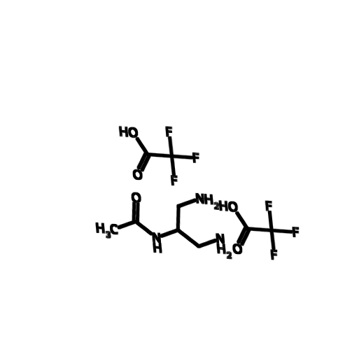 CC(=O)NC(CN)CN.O=C(O)C(F)(F)F.O=C(O)C(F)(F)F